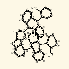 N#Cc1ccccc1-c1c2ccccc2c(-c2ccc3sc4cccc(-c5c6ccccc6c(-c6ccccc6C#N)c6ccccc56)c4c3c2)c2ccccc12